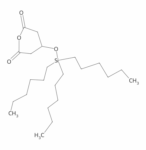 CCCCCC[Si](CCCCCC)(CCCCCC)OC1CC(=O)OC(=O)C1